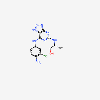 CC(C)[C@H](CO)Nc1nc(Nc2ccc(N)c(Cl)c2)c2[nH]nnc2n1